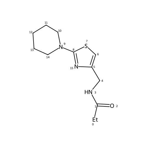 CCC(=O)NCc1csc(N2CCCCC2)n1